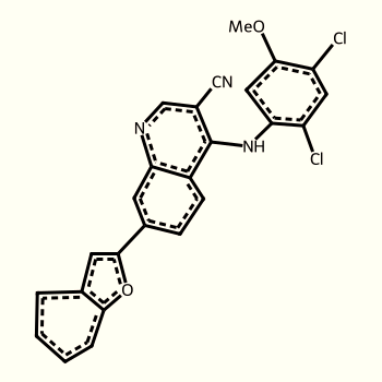 COc1cc(Nc2c(C#N)cnc3cc(-c4cc5ccccc5o4)ccc23)c(Cl)cc1Cl